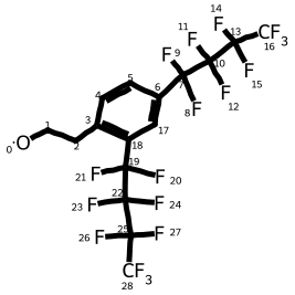 [O]CCc1ccc(C(F)(F)C(F)(F)C(F)(F)C(F)(F)F)cc1C(F)(F)C(F)(F)C(F)(F)C(F)(F)F